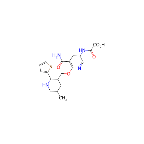 CC1CNC(c2cccs2)C(COc2ncc(NC(=O)C(=O)O)cc2C(N)=O)C1